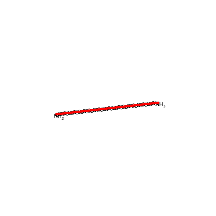 CC(N)COCCOCCOCCOCCOCCOCCOCCOCCOCCOCCOCCOCCOCCOCCOCCOCCOCCOCCOCCOCCOCCOCCOCCOCCOCCOCCOCCOCCOCCOCCOCCOCCOCCOCCOCCOCCOCCOCCOCCOCCOCC(C)N